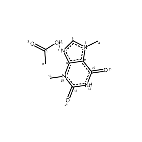 CC(=O)O.Cn1cnc2c1c(=O)[nH]c(=O)n2C